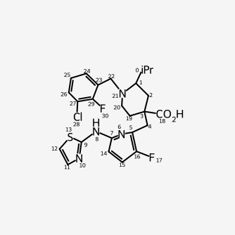 CC(C)C1CC(Cc2nc(Nc3nccs3)ccc2F)(C(=O)O)CCN1Cc1cccc(Cl)c1F